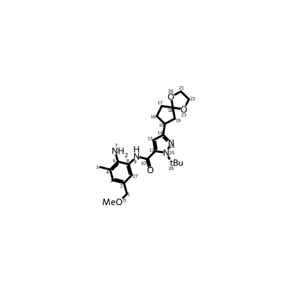 COCc1cc(C)c(N)c(NC(=O)c2cc(C3CCC4(C3)OCCO4)nn2C(C)(C)C)c1